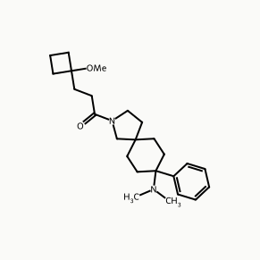 COC1(CCC(=O)N2CCC3(CCC(c4ccccc4)(N(C)C)CC3)C2)CCC1